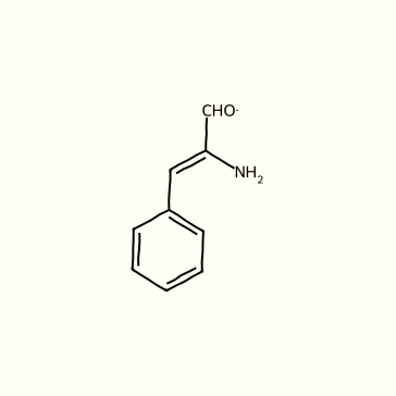 NC([C]=O)=Cc1ccccc1